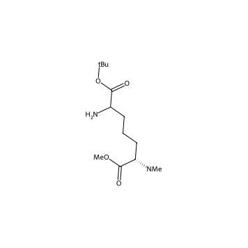 CN[C@@H](CCCC(N)C(=O)OC(C)(C)C)C(=O)OC